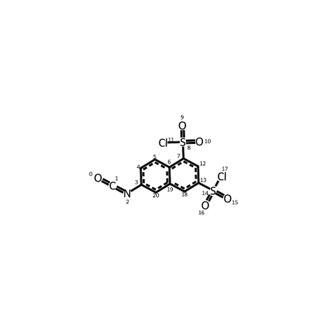 O=C=Nc1ccc2c(S(=O)(=O)Cl)cc(S(=O)(=O)Cl)cc2c1